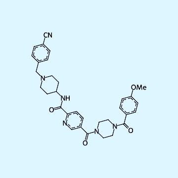 COc1ccc(C(=O)N2CCN(C(=O)c3ccc(C(=O)NC4CCN(Cc5ccc(C#N)cc5)CC4)nc3)CC2)cc1